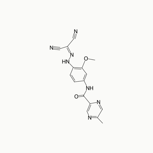 COc1cc(NC(=O)c2cnc(C)cn2)ccc1NN=C(C#N)C#N